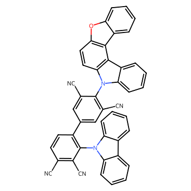 N#Cc1ccc(-c2cc(C#N)c(-n3c4ccccc4c4c5c(ccc43)oc3ccccc35)c(C#N)c2)c(-n2c3ccccc3c3ccccc32)c1C#N